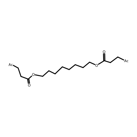 CC(=O)CCC(=O)OCCCCCCCCOC(=O)CCC(C)=O